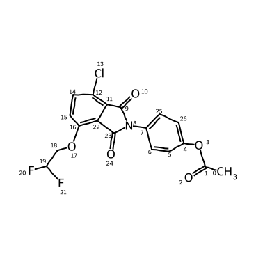 CC(=O)Oc1ccc(N2C(=O)c3c(Cl)ccc(OCC(F)F)c3C2=O)cc1